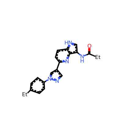 CCC(=O)Nc1c[nH]c2ccc(-c3cnn(-c4ccc(CC)cc4)c3)nc12